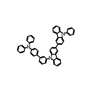 c1ccc(N(c2ccccc2)c2ccc(-c3cccc(-n4c5ccccc5c5cc(-c6ccc7c(c6)c6ccccc6n7-c6ccccc6)ccc54)c3)cc2)cc1